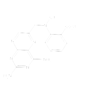 CN(Cc1cnc2nc(N)nc(N)c2n1)c1ccccc1C(=O)O